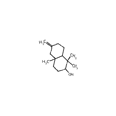 C=C1CCC2C(C)(CCC(O)C2(C)C)C1